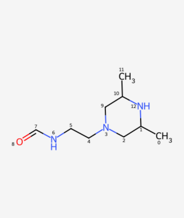 CC1CN(CCNC=O)CC(C)N1